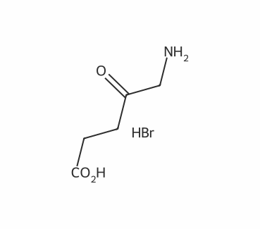 Br.NCC(=O)CCC(=O)O